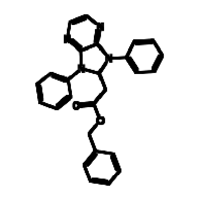 O=C(CC1N(c2ccccc2)c2nccnc2N1c1ccccc1)OCc1ccccc1